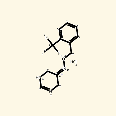 Cl.FC(F)(F)c1ccccc1CO/N=C1/CN=CNC1